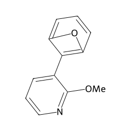 COc1ncccc1-c1c2cccc1O2